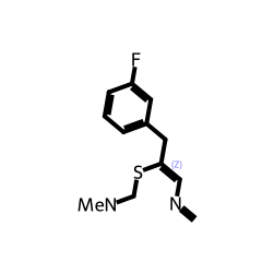 C=N/C=C(/Cc1cccc(F)c1)SCNC